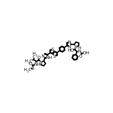 COC(=O)N[C@H](C(=O)N1CCCC1c1ncc(-c2csc3c(-c4ccc(-c5cnc(C6CCCN6C(=O)[C@H](NC(=O)O)c6ccccc6)[nH]5)cc4)csc23)[nH]1)C(C)C